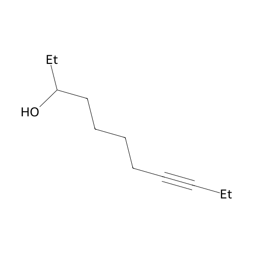 CCC#CCCCCC(O)CC